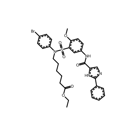 CCOC(=O)CCCCCN(c1ccc(Br)cc1)S(=O)(=O)c1cc(NC(=O)c2cnc(-c3ccccc3)[nH]2)ccc1OC